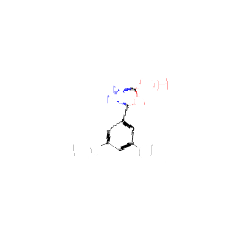 Cc1cc(C)cc(-c2nnc(O)o2)c1